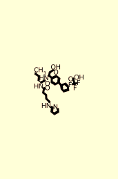 CCCC[C@H](NC(=O)CCCCNc1ccccn1)C(=O)NC(CC(=O)O)c1ccc(-c2ccccc2)cc1.O=C(O)C(F)(F)F